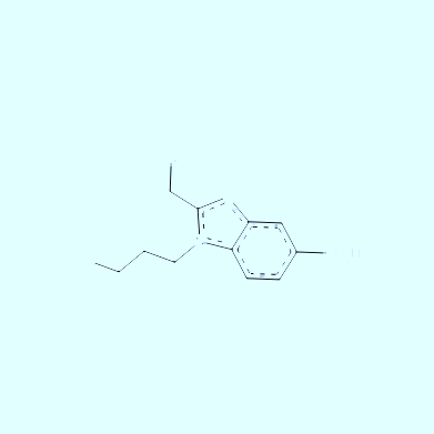 O=C(O)c1ccc2c(c1)sc(CBr)[n+]2CCCO